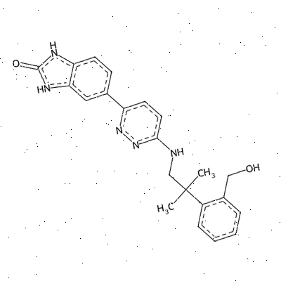 CC(C)(CNc1ccc(-c2ccc3[nH]c(=O)[nH]c3c2)nn1)c1ccccc1CO